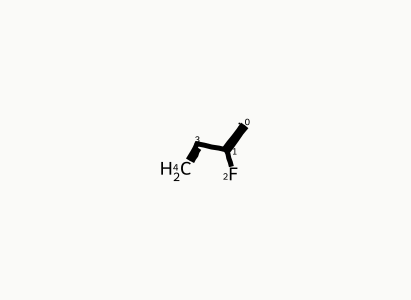 [C]=C(F)C=C